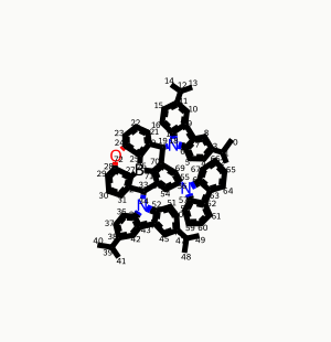 CC(C)c1ccc2c(c1)c1cc(C(C)C)ccc1n2C1c2cccc3c2B2c4c(cccc4C(n4c5ccc(C(C)C)cc5c5cc(C(C)C)ccc54)c4cc(-n5c6ccccc6c6ccccc65)cc1c42)O3